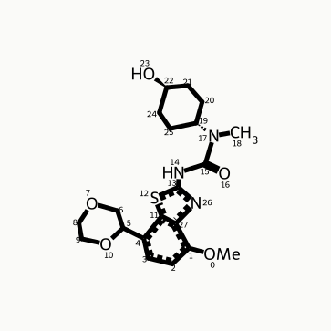 COc1ccc(C2COCCO2)c2sc(NC(=O)N(C)[C@H]3CC[C@H](O)CC3)nc12